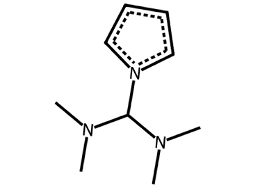 CN(C)C(N(C)C)n1cccc1